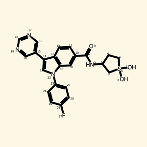 O=C(NC1CCS(O)(O)C1)c1ccc2c(-c3cncnc3)cn(-c3ccc(F)cc3)c2c1